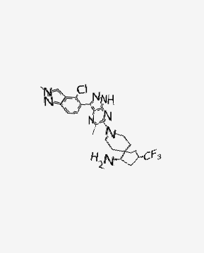 Cc1nc2c(-c3ccc4nn(C)cc4c3Cl)n[nH]c2nc1N1CCC2(CC1)C[C@@H](C(F)(F)F)C[C@H]2N